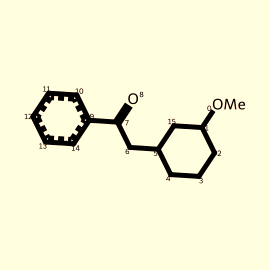 COC1CCCC(CC(=O)c2ccccc2)C1